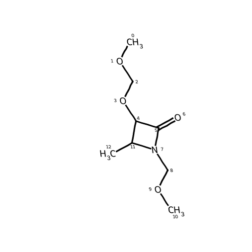 COCOC1C(=O)N(COC)C1C